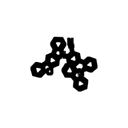 N#Cc1cc(-c2ccccc2-n2c3ccccc3c3ccccc32)ccc1-n1c2ccccc2c2cc3c(cc21)oc1ccccc13